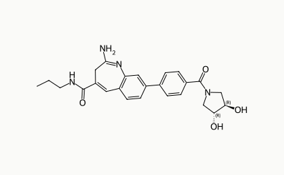 CCCNC(=O)C1=Cc2ccc(-c3ccc(C(=O)N4C[C@@H](O)[C@H](O)C4)cc3)cc2N=C(N)C1